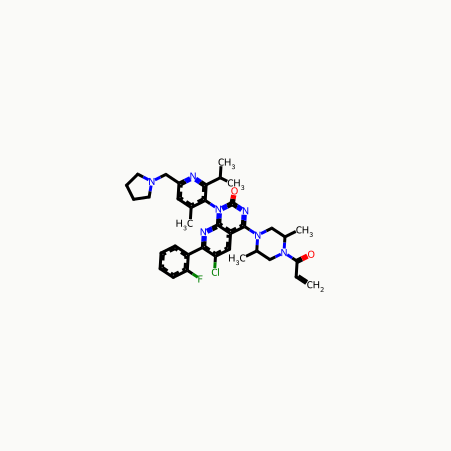 C=CC(=O)N1CC(C)N(c2nc(=O)n(-c3c(C)cc(CN4CCCC4)nc3C(C)C)c3nc(-c4ccccc4F)c(Cl)cc23)CC1C